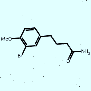 COc1ccc(CCCC(N)=O)cc1Br